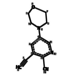 C#Cc1cc(N2CCOCC2)cnc1C#N